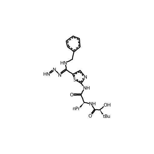 CCC[C@H](NC(=O)[C@@H](O)C(C)(C)C)C(=O)Nc1ncc(/C(=N/N=N)NCc2ccccc2)s1